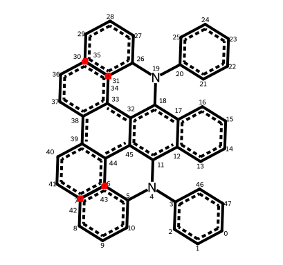 c1ccc(N(c2ccccc2)c2c3ccccc3c(N(c3ccccc3)c3ccccc3)c3c4ccccc4c4ccccc4c23)cc1